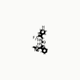 Cc1noc(-c2c(NC(=O)NCc3c(C(F)(F)F)sc4c3CCNC4)sc3c2CCCC3)n1